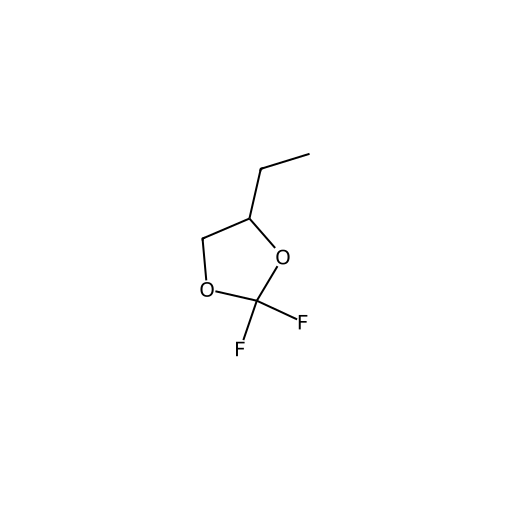 CCC1COC(F)(F)O1